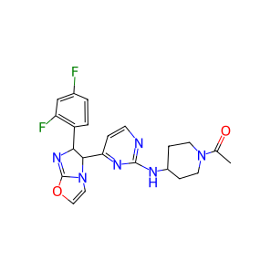 CC(=O)N1CCC(Nc2nccc(C3C(c4ccc(F)cc4F)N=C4OC=CN43)n2)CC1